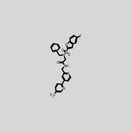 O=C(CN(Cc1ccccc1)S(=O)(=O)c1cc2cc(F)ccc2o1)NCc1cc(-c2ccc(C(F)(F)F)cn2)ccn1